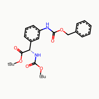 CC(C)(C)OC(=O)N[C@H](C(=O)OC(C)(C)C)c1cccc(NC(=O)OCc2ccccc2)c1